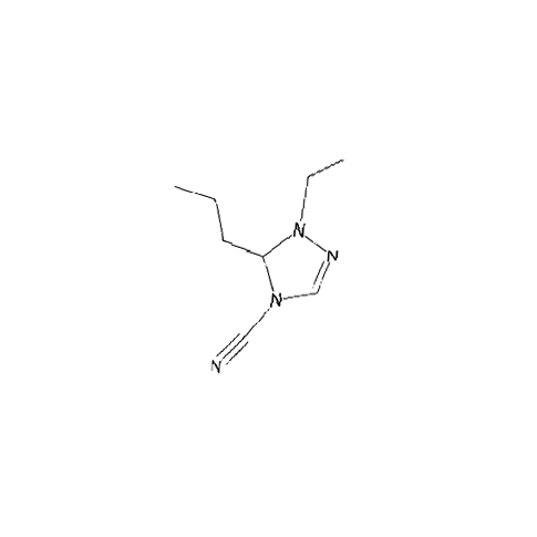 CCCC1N(C#N)C=NN1CC